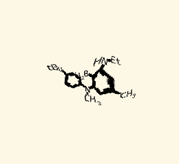 Bc1c(NCC)cc(C)cc1N(C)c1ccc(C(C)(C)C)cc1